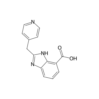 O=C(O)c1cccc2nc(Cc3ccncc3)[nH]c12